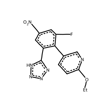 CCOc1ccc(-c2c(F)cc([N+](=O)[O-])cc2-c2nnn[nH]2)cn1